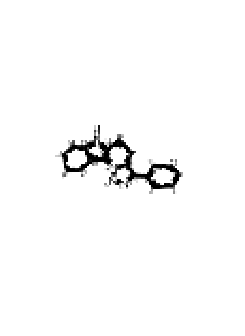 c1ccc(-c2nnn3c2ccc2[nH]c4ccccc4c23)cc1